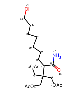 CC(=O)OCC(COC(C)=O)(COC(C)=O)C(CCCCCCCO)C(N)=O